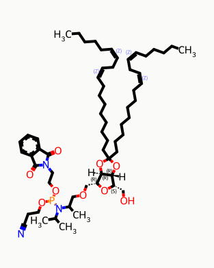 CCCCC/C=C\C/C=C\CCCCCCCCC1(CCCCCCCC/C=C\C/C=C\CCCCC)O[C@H]2[C@H](O1)[C@@H](COCC(C)N(C(C)C)P(OCCC#N)OCCN1C(=O)c3ccccc3C1=O)O[C@H]2CO